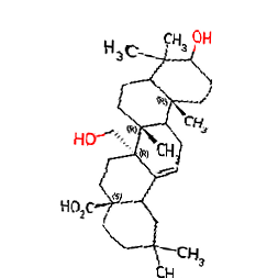 CC1(C)CC[C@]2(C(=O)O)CC[C@]3(CO)C(=CCC4[C@@]5(C)CCC(O)C(C)(C)C5CC[C@]43C)C2C1